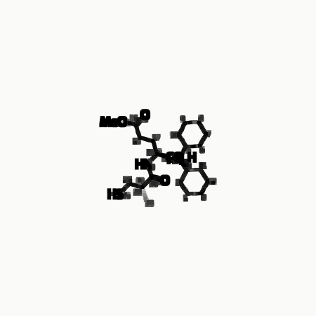 C1CCC(NC2CCCCC2)CC1.COC(=O)CC[C@H](NC(=O)[C@H](C)CS)C(=O)O